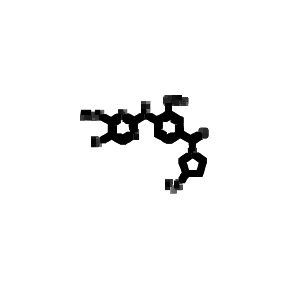 CNc1nc(Nc2ccc(C(=O)N3CCC(C(F)(F)F)C3)cc2OC)ncc1Br